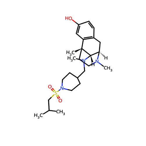 CC(C)CS(=O)(=O)N1CCC(CN(C)[C@H]2[C@H]3Cc4ccc(O)cc4[C@@]2(C)CCN3C)CC1